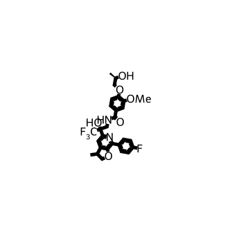 COc1cc(C(=O)NCC(O)(c2cc3c(c(-c4ccc(F)cc4)n2)OCC3C)C(F)(F)F)ccc1OC[C@@H](C)O